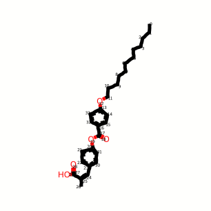 CCCCCCCCCCCCOc1ccc(C(=O)Oc2ccc(C=C(C)C(=O)O)cc2)cc1